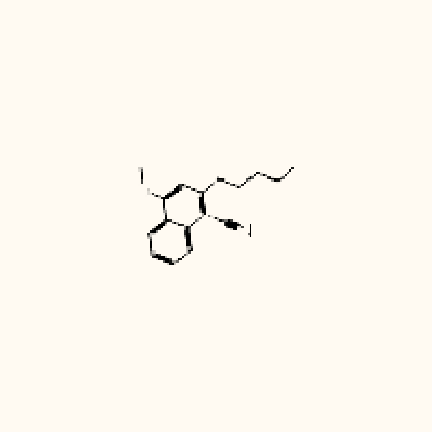 CCCCCc1cc(OC)c2ccccc2c1C#N